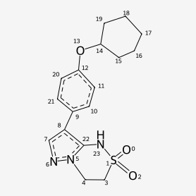 O=S1(=O)CCn2ncc(-c3ccc(OC4CCCCC4)cc3)c2N1